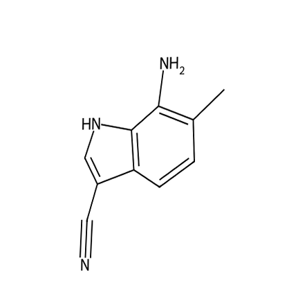 Cc1ccc2c(C#N)c[nH]c2c1N